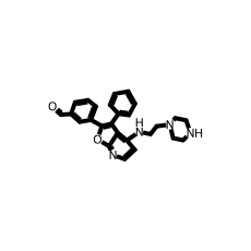 O=Cc1cccc(-c2oc3nccc(NCCN4CCNCC4)c3c2-c2ccccc2)c1